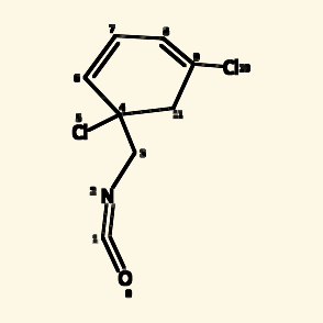 O=C=NCC1(Cl)C=CC=C(Cl)C1